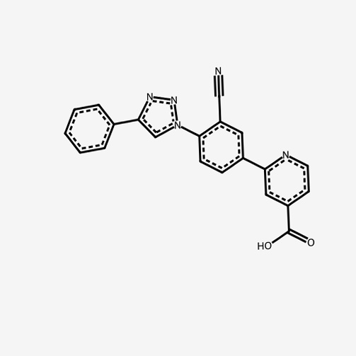 N#Cc1cc(-c2cc(C(=O)O)ccn2)ccc1-n1cc(-c2ccccc2)nn1